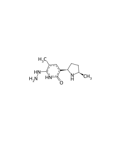 Cc1cc([C@H]2CC[C@@H](C)N2)c(=O)[nH]c1NN